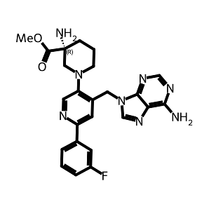 COC(=O)[C@@]1(N)CCCN(c2cnc(-c3cccc(F)c3)cc2Cn2cnc3c(N)ncnc32)C1